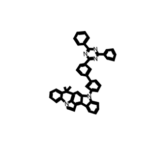 CC1(C)c2ccccc2-n2ccc3c4c5ccccc5n(-c5cccc(-c6cccc(-c7nc(-c8ccccc8)nc(-c8ccccc8)n7)c6)c5)c4cc1c32